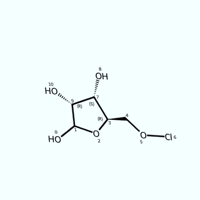 OC1O[C@H](COCl)[C@@H](O)[C@H]1O